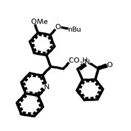 CCCCOc1cc(C(CC(=O)O)c2ccc3ccccc3n2)ccc1OC.O=C1N=Cc2ccccc21